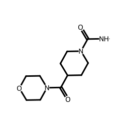 [NH]C(=O)N1CCC(C(=O)N2CCOCC2)CC1